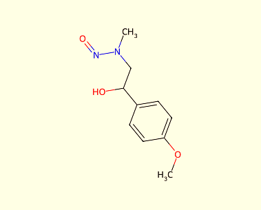 COc1ccc(C(O)CN(C)N=O)cc1